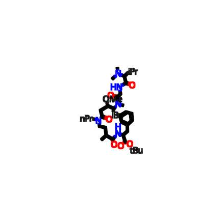 CCCN(CCC(C)C(=O)NC(Cc1ccccc1)C(=O)OC(C)(C)C)C(=O)CC(OC)C(C(C)CC)N(C)C(=O)CNC(=O)C(C(C)C)N(C)C